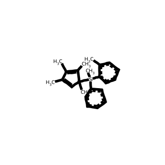 CC1=[C]C(C)([Si](C)(c2ccccc2)c2ccccc2C)C(C)=C1C